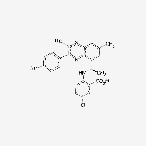 Cc1cc([C@@H](C)Nc2ccc(Cl)nc2C(=O)O)c2nc(-c3ccc(C#N)cc3)c(C#N)nc2c1